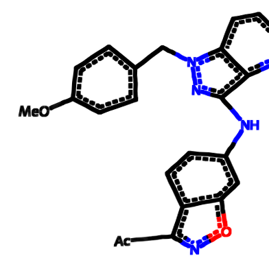 COc1ccc(Cn2nc(Nc3ccc4c(C(C)=O)noc4c3)c3ncccc32)cc1